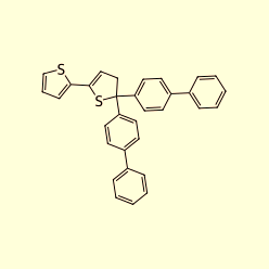 C1=C(c2cccs2)SC(c2ccc(-c3ccccc3)cc2)(c2ccc(-c3ccccc3)cc2)C1